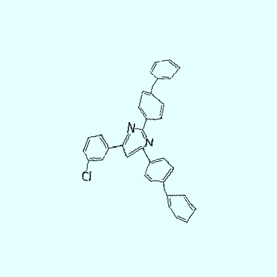 Clc1cccc(-c2cc(-c3ccc(-c4ccccc4)cc3)nc(-c3ccc(-c4ccccc4)cc3)n2)c1